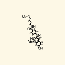 COCCCCNC(=O)c1ccc(-n2ncc(C3=C(OC)CC(C#N)C=C3)c2O)nc1